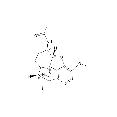 COc1ccc2c3c1O[C@H]1[C@H](NC(C)=O)CCC4[C@@H](C2)N(C)CC[C@@]341